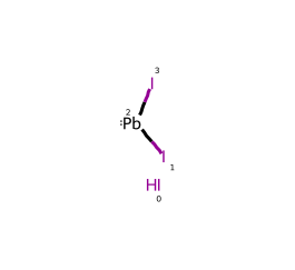 I.[I][Pb][I]